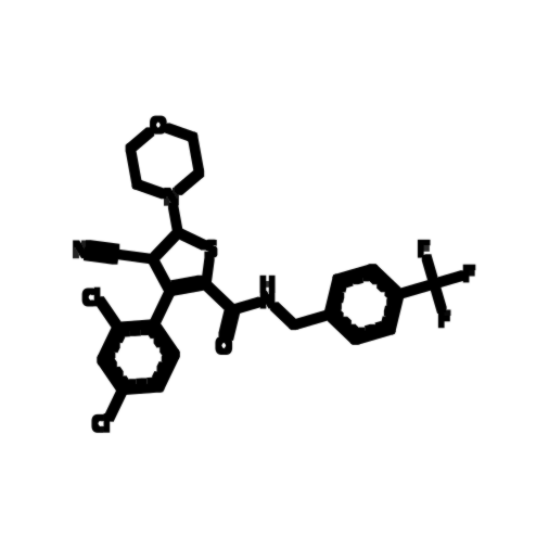 N#CC1C(c2ccc(Cl)cc2Cl)=C(C(=O)NCc2ccc(C(F)(F)F)cc2)SC1N1CCOCC1